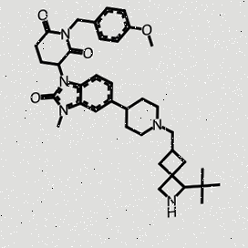 COc1ccc(CN2C(=O)CCC(n3c(=O)n(C)c4cc(C5CCN(CC6CC7(CNC7C(C)(C)C)C6)CC5)ccc43)C2=O)cc1